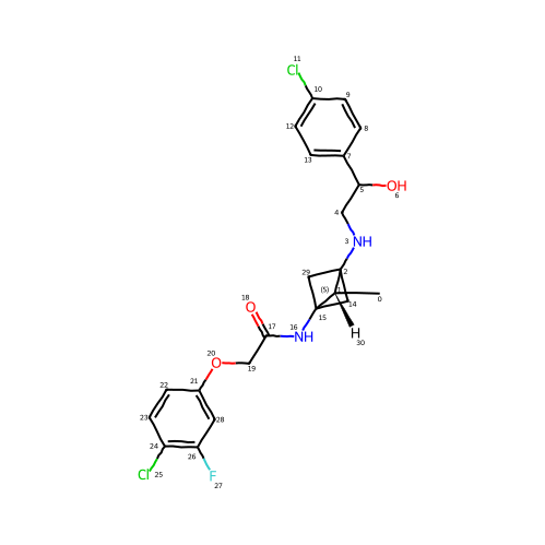 C[C@H]1C2(NCC(O)c3ccc(Cl)cc3)CC1(NC(=O)COc1ccc(Cl)c(F)c1)C2